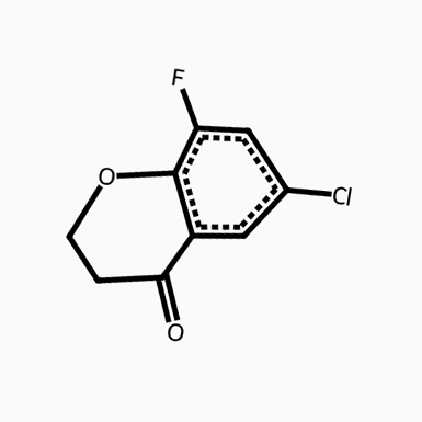 O=C1CCOc2c(F)cc(Cl)cc21